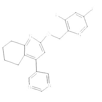 Fc1cnc(COc2cc(-c3cncnc3)c3c(n2)CCCC3)c(F)c1